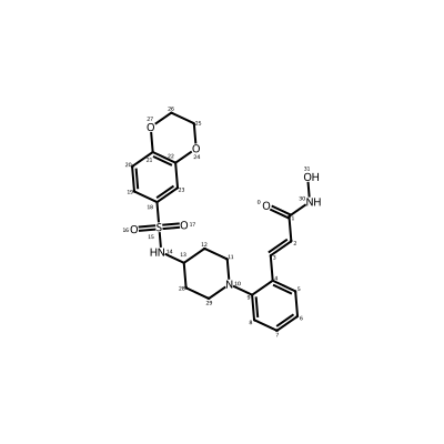 O=C(/C=C/c1ccccc1N1CCC(NS(=O)(=O)c2ccc3c(c2)OCCO3)CC1)NO